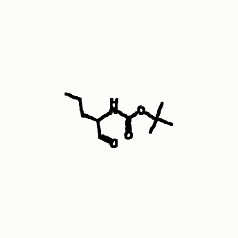 CCC[C@H](C=O)NC(=O)OC(C)(C)C